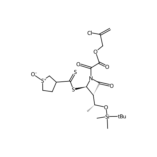 C=C(Cl)COC(=O)C(=O)N1C(=O)[C@H]([C@@H](C)O[Si](C)(C)C(C)(C)C)[C@H]1SC(=S)C1CC[S+]([O-])C1